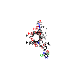 CC[C@H]1OC(=O)[C@H](C)[C@@H](O)[C@H](C)C(O[C@@H]2O[C@H](C)C[C@H](N(C)C(=O)N3CCOCC3)[C@H]2O)[C@](C)(OC)C[C@@H](C)C(=O)[C@H](C)[C@H]2N(CCCOc3cc(C(=O)Nc4c(Cl)cncc4Cl)ccc3OC)C(=O)O[C@]12C